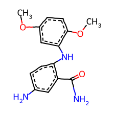 COc1ccc(OC)c(Nc2ccc(N)cc2C(N)=O)c1